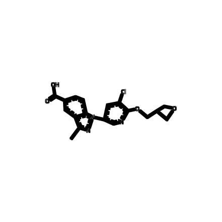 Cc1nn(-c2cnc(OCC3COC3)c(Cl)c2)c2ccc(C(=O)O)cc12